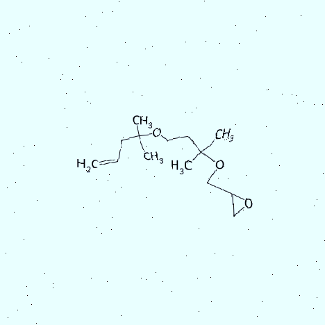 C=CCC(C)(C)OCCC(C)(C)OCC1CO1